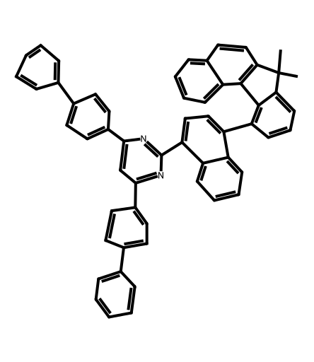 CC1(C)c2cccc(-c3ccc(-c4nc(-c5ccc(-c6ccccc6)cc5)cc(-c5ccc(-c6ccccc6)cc5)n4)c4ccccc34)c2-c2c1ccc1ccccc21